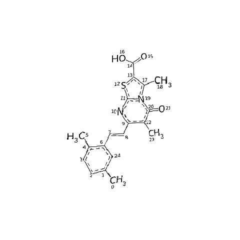 Cc1ccc(C)c(/C=C/c2nc3sc(C(=O)O)c(C)n3c(=O)c2C)c1